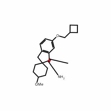 COC1CCC2(CC1)Cc1ccc(OCC3CCC3)cc1C21N=C(C)C(N)=N1